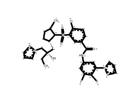 CC[C@](O)(C[C@@H]1CCC(C)C1S(=O)(=O)c1cc(C(=O)Nc2cc(F)c(F)c(-n3cccn3)c2)ccc1Cl)Cn1cccn1